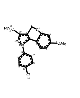 COc1ccc2c(c1)CCc1c(C(=O)O)nn(-c3ccc(Cl)cc3)c1-2